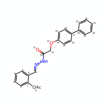 CC(=O)Oc1ccccc1C=NNC(=O)COc1ccc(-c2ccccc2)cc1